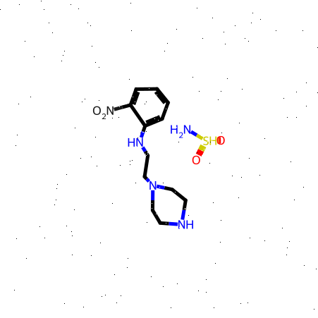 N[SH](=O)=O.O=[N+]([O-])c1ccccc1NCCN1CCNCC1